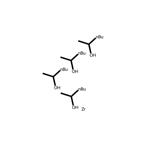 CCCCC(C)O.CCCCC(C)O.CCCCC(C)O.CCCCC(C)O.[Zr]